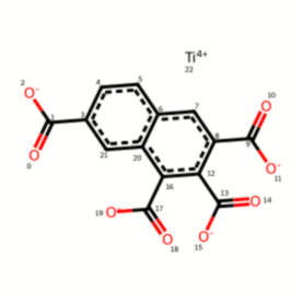 O=C([O-])c1ccc2cc(C(=O)[O-])c(C(=O)[O-])c(C(=O)[O-])c2c1.[Ti+4]